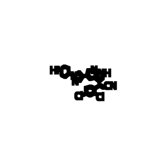 N#C/C=C(/c1ccc(Cl)cc1Cl)c1c[nH]c2ncc(-c3cnn(C4CCNCC4)c3)cc12